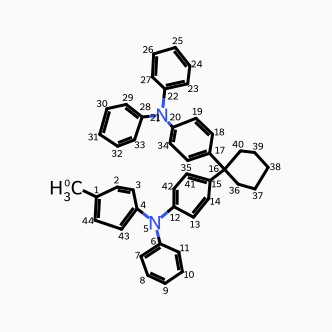 Cc1ccc(N(c2ccccc2)c2ccc(C3(c4ccc(N(c5ccccc5)c5ccccc5)cc4)CCCCC3)cc2)cc1